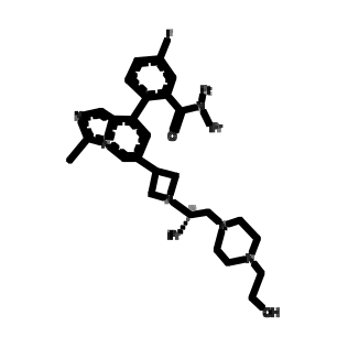 CCN(C(=O)c1cc(F)ccc1-c1cc(C2CN([C@H](CN3CCN(CCO)CC3)C(C)C)C2)cn2c(C)ncc12)C(C)C